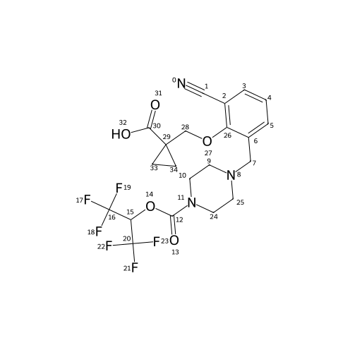 N#Cc1cccc(CN2CCN(C(=O)OC(C(F)(F)F)C(F)(F)F)CC2)c1OCC1(C(=O)O)CC1